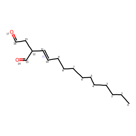 CCCCCCCCCC/C=C/C([C]=O)C[C]=O